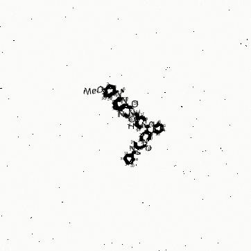 COc1ccc(N(C)c2ccc3ncn(CC4(O)CCN(C(=O)[C@@H]5CCN(C(=O)c6sc(-c7ccccc7)nc6C)C[C@H]5c5ccccc5)CC4)c(=O)c3n2)cc1